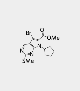 COC(=O)c1c(Br)c2cnc(SC)nc2n1C1CCCC1